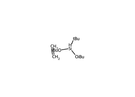 C=C.CC(C)CO[SiH](OCC(C)C)C(C)(C)C